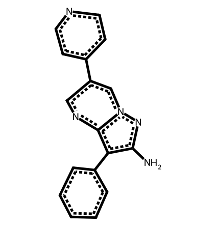 Nc1nn2cc(-c3ccncc3)cnc2c1-c1ccccc1